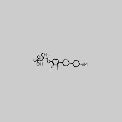 CCCC1CCC(C2CCC(c3ccc(OCC(C)CP(=O)(O)O)c(F)c3F)CC2)CC1